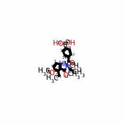 CCc1c(OC)cccc1C(=O)N(NC(=O)c1ccc(B(O)O)cc1)C(C)(C)C